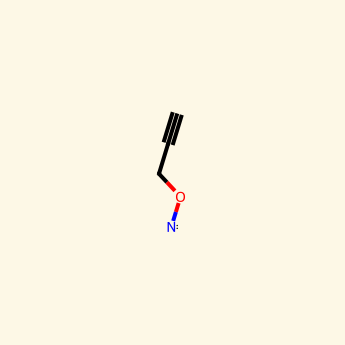 C#CCO[N]